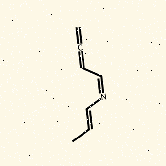 C=C=C/C=N\C=CC